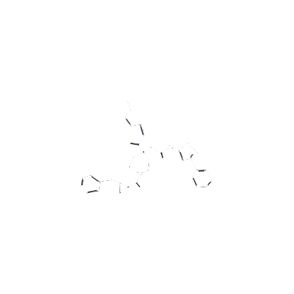 C=C(/C=C\C=C/CC)C1(CC(=O)Nc2cc(-c3ccccc3)n[nH]2)CCN(C(=O)C2CC2Cc2ccccc2)CC1